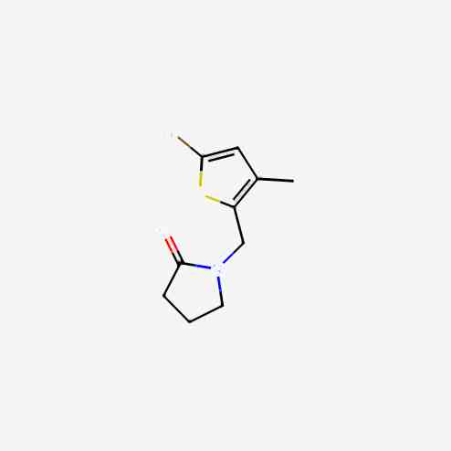 Cc1cc(Br)sc1CN1CCCC1=O